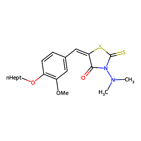 CCCCCCCOc1ccc(C=C2SC(=S)N(N(C)C)C2=O)cc1OC